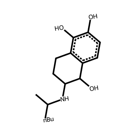 CCCCC(C)NC1CCc2c(ccc(O)c2O)C1O